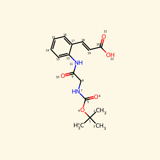 CC(C)(C)OC(=O)NCC(=O)Nc1ccccc1C=CC(=O)O